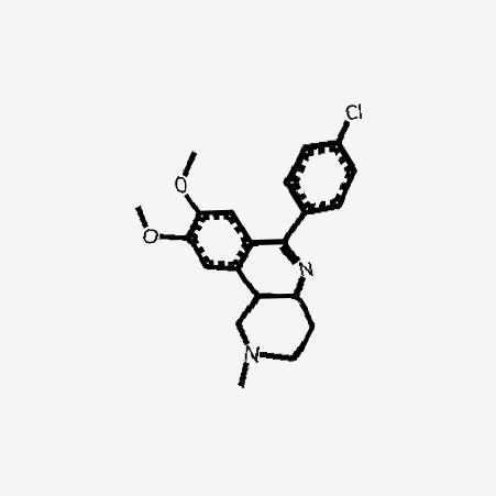 COc1cc2c(cc1OC)C1CN(C)CCC1N=C2c1ccc(Cl)cc1